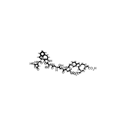 CC[C@H](C)[C@H](NC(=O)CNC(=O)CNC(=O)[C@H](CCC(=O)O)NC(=O)CN1CCC(CN2CCN(CC(=O)O)CCN(CC(=O)O)CC2)CC1)C(=O)N[C@H]1CCc2cccc3c2N(C1=O)[C@H](C(=O)NC1CC(=O)OC1O)C3